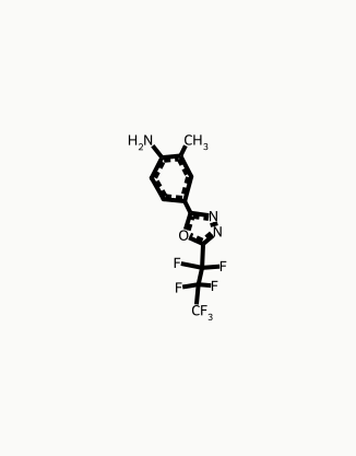 Cc1cc(-c2nnc(C(F)(F)C(F)(F)C(F)(F)F)o2)ccc1N